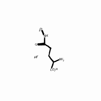 CCNC(=O)CCC(N)C(=O)O.F